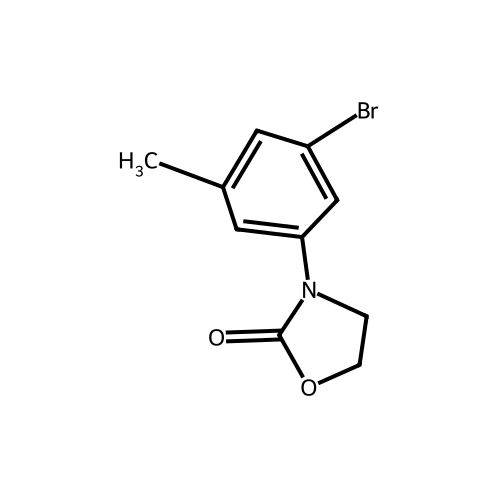 Cc1cc(Br)cc(N2CCOC2=O)c1